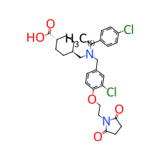 C[C@@H](c1ccc(Cl)cc1)N(Cc1ccc(OCCN2C(=O)CCC2=O)c(Cl)c1)C[C@H]1CC[C@H](C(=O)O)CC1